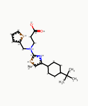 CC(C)(C)C1CCC(c2csc(N(CCC(=O)[O-])Cc3cccs3)n2)CC1.[Na+]